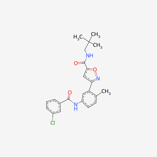 Cc1ccc(NC(=O)c2cccc(Cl)c2)cc1-c1cc(C(=O)NCC(C)(C)C)on1